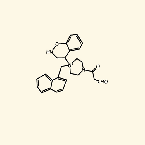 O=CCC(=O)N1CC[N+](Cc2cccc3ccccc23)(C2CNOc3ccccc32)CC1